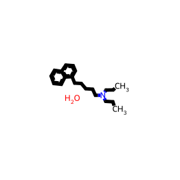 CCCN(CCC)CCCCCc1cccc2ccccc12.O